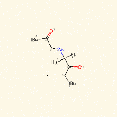 CCC(C)C(=O)CNC(C)(CC)C(=O)CC(C)(C)C